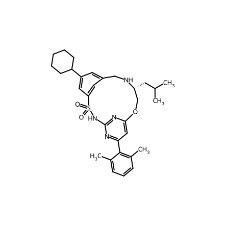 Cc1cccc(C)c1-c1cc2nc(n1)NS(=O)(=O)c1cc(cc(C3CCCCC3)c1)CN[C@H](CC(C)C)CO2